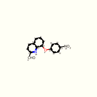 O=Cc1ccc2cccc(Oc3ccc([N+](=O)[O-])cc3)c2n1